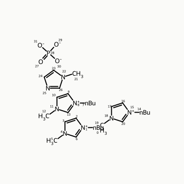 CCCC[n+]1ccn(C)c1.CCCC[n+]1ccn(C)c1.CCCC[n+]1ccn(C)c1.Cn1ccnc1.O=P([O-])([O-])[O-]